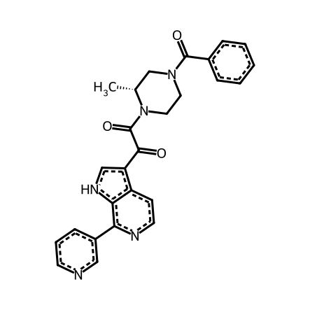 C[C@@H]1CN(C(=O)c2ccccc2)CCN1C(=O)C(=O)c1c[nH]c2c(-c3cccnc3)nccc12